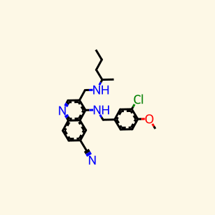 CCCC(C)NCc1cnc2ccc(C#N)cc2c1NCc1ccc(OC)c(Cl)c1